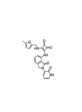 Cc1ccc(CNc2c(Nc3cccc4c3C(=O)N(c3ccc[nH]c3=O)C4)c(=O)c2=O)o1